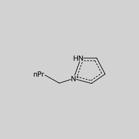 CCCC[n+]1ccc[nH]1